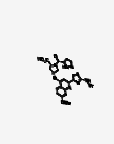 COc1ccc2c(O[C@@H]3C[C@@H](C(=O)O)N(C(=O)c4ccn[nH]4)C3)cc(-c3csc(NC(C)C)n3)nc2c1